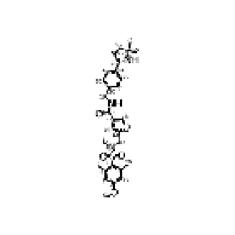 COc1cc(C)c(S(=O)(=O)N(C)Cc2cc(C(=O)NCc3ccc(C4=NCC(C)(C)N4)cc3)co2)c(C)c1